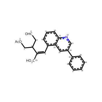 CC(=O)OCC(CC=O)C(=Cc1cccc2ncc(-c3ccccc3)cc12)C(=O)O